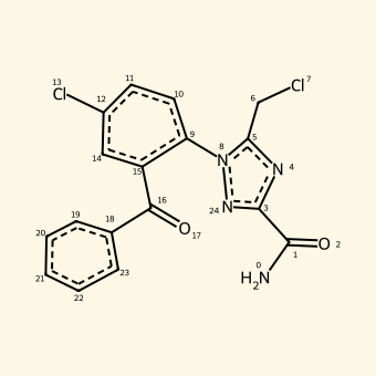 NC(=O)c1nc(CCl)n(-c2ccc(Cl)cc2C(=O)c2ccccc2)n1